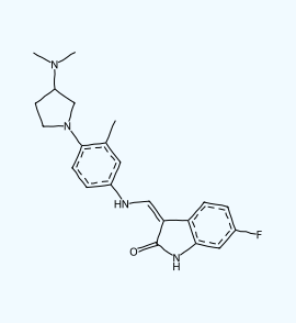 Cc1cc(N/C=C2\C(=O)Nc3cc(F)ccc32)ccc1N1CCC(N(C)C)C1